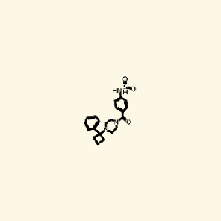 O=C(c1ccc(N[SH](=O)=O)cc1)N1CCN(C2(c3ccccc3)CCC2)CC1